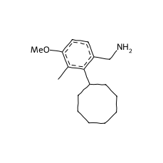 COc1ccc(CN)c(C2CCCCCCC2)c1C